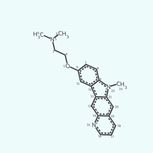 CN(C)CCOc1ccc2c(c1)c1cc3ncccc3cc1n2C